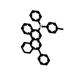 Cc1ccc(N(c2ccccc2)c2cc3cc(-c4ccccc4)c4c(c3c3ccccc23)C=CCC4)cc1